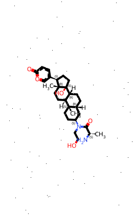 C[C@H](N)C(=O)N(CCO)[C@H]1CC[C@@]2(C)[C@H](CC[C@@H]3[C@@H]2CC[C@]2(C)[C@@H](c4ccc(=O)oc4)CC[C@]32O)C1